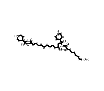 CCCCCCCCCCCCCCCCCC(=O)OC(CC)(CC(CCCCCCC)CCCCCCCCCC(=O)OC(CC)(CC)C1CCNCC1)C1CCNCC1